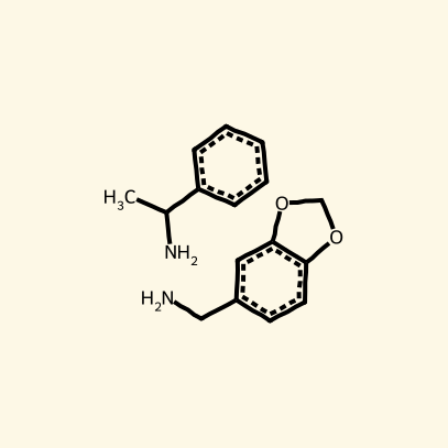 CC(N)c1ccccc1.NCc1ccc2c(c1)OCO2